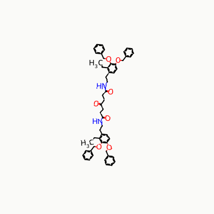 CCc1c(CCNC(=O)CCC(=O)CCC(=O)NCCc2ccc(OCc3ccccc3)c(OCc3ccccc3)c2CC)ccc(OCc2ccccc2)c1OCc1ccccc1